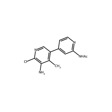 CC(=O)Nc1cc(-c2cnc(Cl)c(N)c2C)ccn1